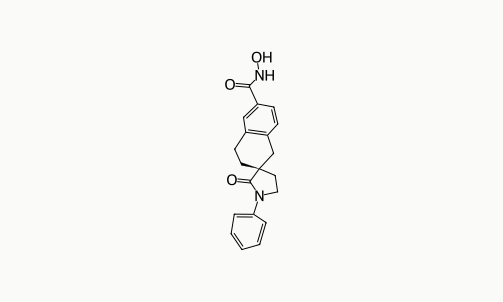 O=C(NO)c1ccc2c(c1)CC[C@]1(CCN(c3ccccc3)C1=O)C2